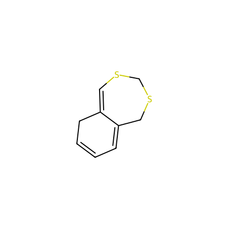 C1=CCC2=CSCSCC2=C1